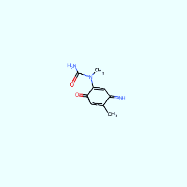 CC1=CC(=O)C(N(C)C(N)=O)=CC1=N